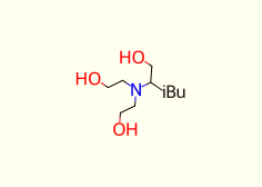 CCC(C)C(CO)N(CCO)CCO